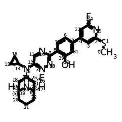 CSc1cc(-c2ccc(-c3ncc(N(C4CC4)[C@H]4C[C@@H]5CCC[C@@H](N5)[C@H]4F)nn3)c(O)c2)cc(F)n1